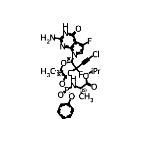 CC(C)OC(=O)[C@H](C)NP(=O)(OC[C@H](C)O[C@@H](n1cc(F)c2c(=O)[nH]c(N)nc21)C(C)(F)C#CCl)Oc1ccccc1